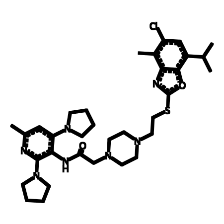 Cc1cc(N2CCCC2)c(NC(=O)CN2CCN(CCSc3nc4c(C)c(Cl)cc(C(C)C)c4o3)CC2)c(N2CCCC2)n1